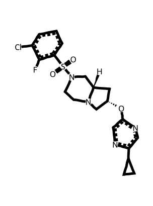 O=S(=O)(c1cccc(Cl)c1F)N1CCN2C[C@@H](Oc3cnc(C4CC4)cn3)C[C@H]2C1